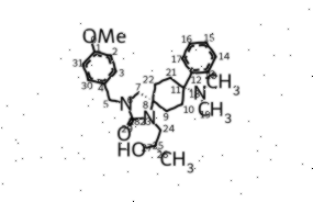 COc1ccc(CN2C[C@]3(CC[C@@](c4ccccc4)(N(C)C)CC3)N(C[C@H](C)O)C2=O)cc1